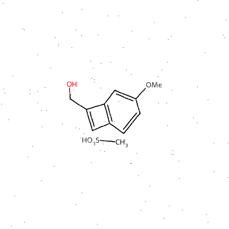 COc1ccc2c(c1)C(CO)=C2.CS(=O)(=O)O